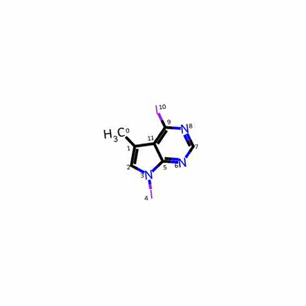 Cc1cn(I)c2ncnc(I)c12